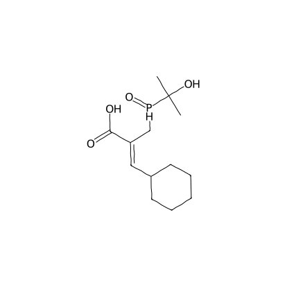 CC(C)(O)[PH](=O)CC(=CC1CCCCC1)C(=O)O